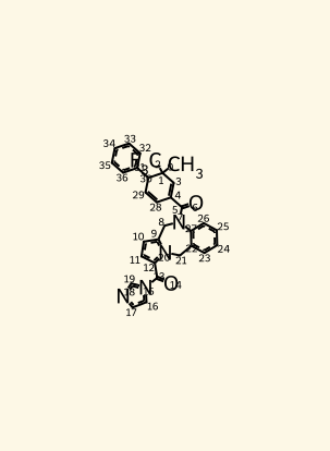 CC1(C(F)(F)F)C=C(C(=O)N2Cc3ccc(C(=O)n4ccnc4)n3Cc3ccccc32)C=CC1c1ccccc1